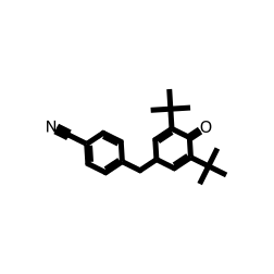 CC(C)(C)C1=CC(Cc2ccc(C#N)cc2)C=C(C(C)(C)C)C1=O